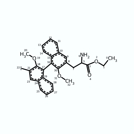 CCOC(=O)C(N)Cc1cc2ccccc2c(-c2c(OC)c(I)cc3ccccc23)c1OC